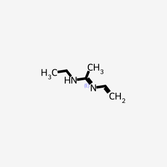 C=C/N=C(\C)NCC